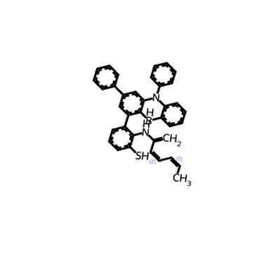 C=C(/C=C\C=C/C)Nc1c(S)cccc1-c1cc(-c2ccccc2)cc2c1Bc1ccccc1N2c1ccccc1